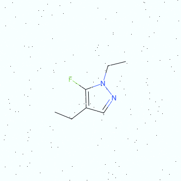 CCc1[c]nn(CC)c1F